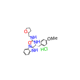 COc1ccc(C[C@@H](NC(=O)NCC2CCCO2)c2nc3ccccc3[nH]2)cc1.Cl